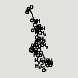 C=C(\C=C/C(=C\C)C(/C)=N/NC(=O)c1ccc(NC(=O)CCCCCN2C(=O)C=CC2=O)cc1S(=O)(=O)O)N(C)CC(=O)O[C@H](CC)CC(=O)N(C)c1cc(C/C(C)=C/C=C/[C@@H](OC)[C@@]2(O)C[C@@H](C(C)C3CO3)OC(=O)N2)cc(OC)c1Cl